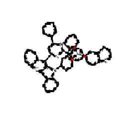 c1ccc(-c2cc(-c3c4ccccc4cc4c5ccccc5n(-c5ccc6c(c5)c5ccccc5n6-c5ccc6ccccc6c5)c34)nc(-c3ccccc3)n2)cc1